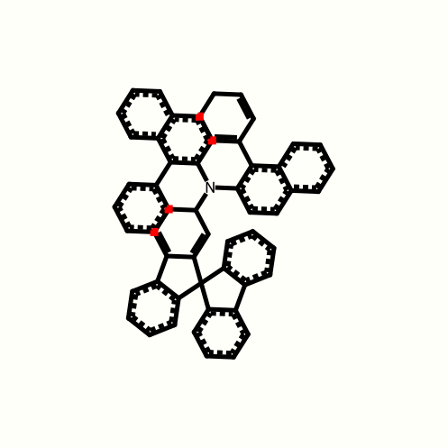 C1=CC(c2c(N(c3ccc4ccccc4c3-c3ccccc3)C3C=C4C(=CC3)c3ccccc3C43c4ccccc4-c4ccccc43)ccc3ccccc23)=CCC1